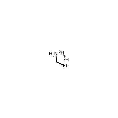 CCCN.[2H][2H]